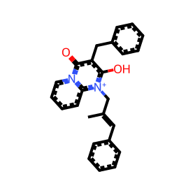 C/C(=C\c1ccccc1)C[n+]1c(O)c(Cc2ccccc2)c(=O)n2ccccc21